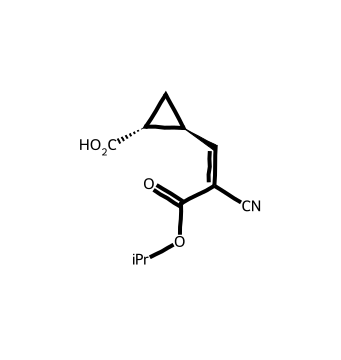 CC(C)OC(=O)C(C#N)=C[C@@H]1C[C@H]1C(=O)O